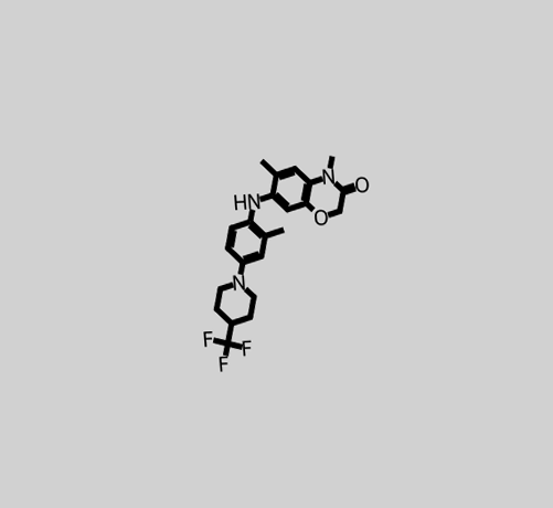 Cc1cc(N2CCC(C(F)(F)F)CC2)ccc1Nc1cc2c(cc1C)N(C)C(=O)CO2